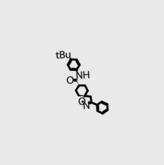 CC(C)(C)c1ccc(NC(=O)[C@H]2CC[C@@]3(CC2)CC(c2ccccc2)=NO3)cc1